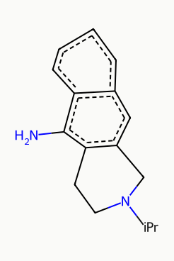 CC(C)N1CCc2c(cc3ccccc3c2N)C1